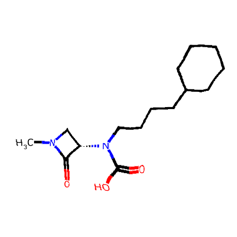 CN1C[C@H](N(CCCCC2CCCCC2)C(=O)O)C1=O